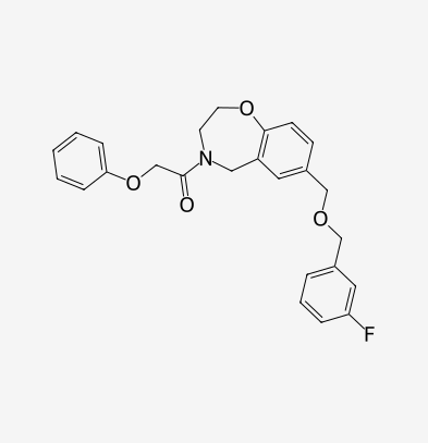 O=C(COc1ccccc1)N1CCOc2ccc(COCc3cccc(F)c3)cc2C1